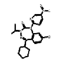 CC(C)N1N=C(C2CCCCC2)c2ccc(Cl)cc2N(c2ccc([N+](=O)[O-])cn2)C1=O